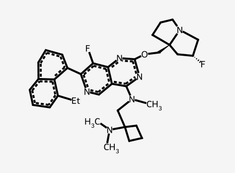 CCc1cccc2cccc(-c3ncc4c(N(C)CC5(N(C)C)CCC5)nc(OC[C@@]56CCCN5C[C@H](F)C6)nc4c3F)c12